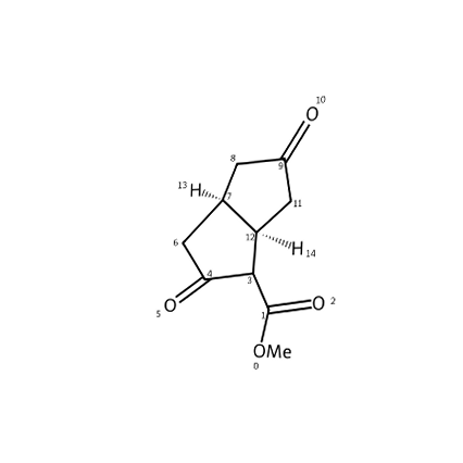 COC(=O)C1C(=O)C[C@H]2CC(=O)C[C@@H]12